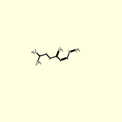 C=N/C=C\C(=C)CCC(C)C